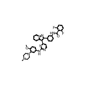 COc1ccc(Nc2nccc(-c3c(-c4cccc(NC(=O)c5c(F)cccc5F)c4)nn4ccccc34)n2)cc1N1CCN(C)CC1